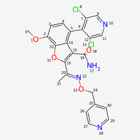 COc1ccc(-c2c(Cl)cncc2Cl)c2c(C(N)=O)c(C(C)=NOCc3ccncc3)oc12